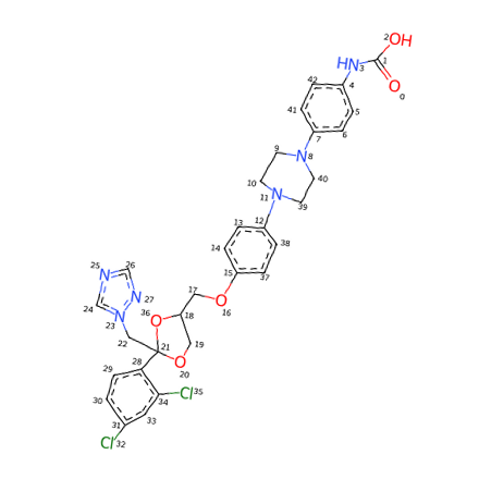 O=C(O)Nc1ccc(N2CCN(c3ccc(OCC4COC(Cn5cncn5)(c5ccc(Cl)cc5Cl)O4)cc3)CC2)cc1